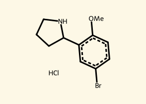 COc1ccc(Br)cc1C1CCCN1.Cl